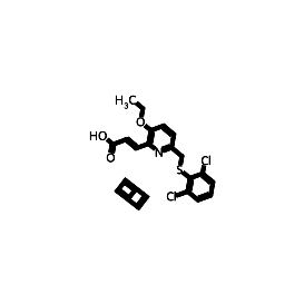 CCOc1ccc(CSc2c(Cl)cccc2Cl)nc1C=CC(=O)O.c1cc2ccc1-2